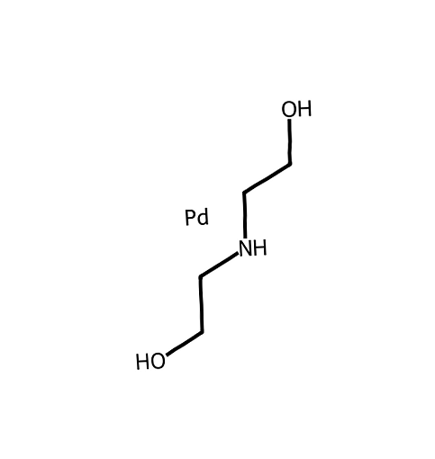 OCCNCCO.[Pd]